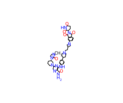 CN1CCN([C@@H]2CCCN(c3cnc(C(N)=O)c(Nc4ccc(C5CCN(CCC6CN(c7ccc8c(c7)C(=O)N(C7CCC(=O)NC7=O)C8=O)C6)CC5)cc4)n3)C2)C1=O